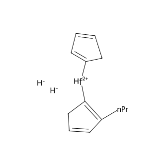 CCCC1=[C]([Hf+2][C]2=CC=CC2)CC=C1.[H-].[H-]